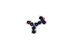 c1ccc(-c2ccc(N(c3ccc(-c4ccc(-n5c6ccccc6c6oc7ccccc7c65)cc4)cc3)c3ccc(-c4ccccn4)cc3)cc2)cc1